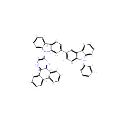 c1ccc(-n2c3ccccc3c3cc(-c4ccc5c6ccccc6n(-c6cnc7c8ccccc8c8ccccc8c7n6)c5c4)ccc32)cc1